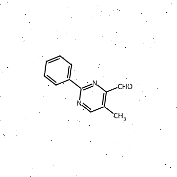 Cc1cnc(-c2ccccc2)nc1C=O